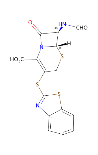 O=CN[C@@H]1C(=O)N2C(C(=O)O)=C(Sc3nc4ccccc4s3)CS[C@@H]12